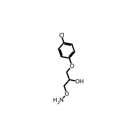 NOCC(O)COc1ccc(Cl)cc1